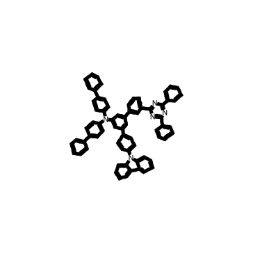 c1ccc(-c2ccc(N(c3ccc(-c4ccccc4)cc3)c3cc(-c4ccc(-n5c6ccccc6c6ccccc65)cc4)cc(-c4cccc(-c5nc(-c6ccccc6)nc(-c6ccccc6)n5)c4)c3)cc2)cc1